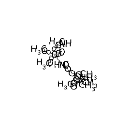 CNC(=O)CCC(=O)OCC(CCCCNC(=O)COCCOCCOC1OC(COC(C)=O)C(C)C(C)C1NC(C)=O)COC(c1ccccc1)(c1ccc(OC)cc1)c1ccc(OC)cc1